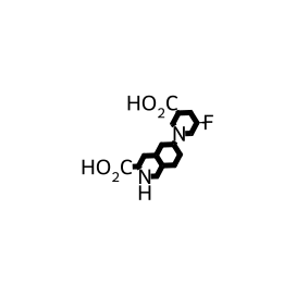 O=C(O)C1CC2CC(N3C[C@@H](F)C[C@H](C(=O)O)C3)CCC2CN1